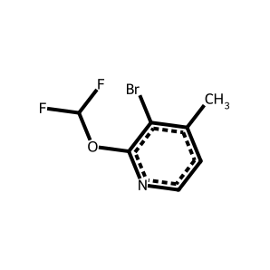 Cc1ccnc(OC(F)F)c1Br